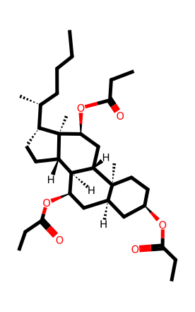 CCCC[C@@H](C)[C@H]1CC[C@H]2[C@@H]3[C@H](OC(=O)CC)C[C@@H]4C[C@H](OC(=O)CC)CC[C@]4(C)[C@H]3C[C@H](OC(=O)CC)[C@]12C